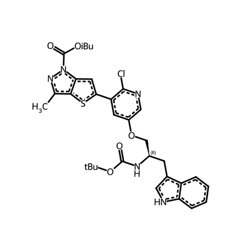 Cc1nn(C(=O)OCC(C)C)c2cc(-c3cc(OC[C@@H](Cc4c[nH]c5ccccc45)NC(=O)OC(C)(C)C)cnc3Cl)sc12